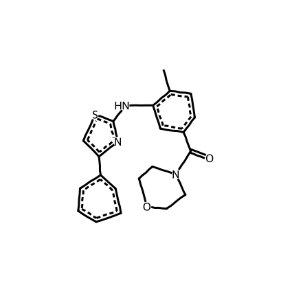 Cc1ccc(C(=O)N2CCOCC2)cc1Nc1nc(-c2ccccc2)cs1